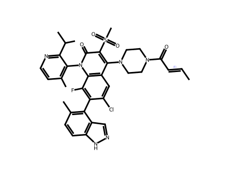 C/C=C/C(=O)N1CCN(c2c(S(C)(=O)=O)c(=O)n(-c3c(C)ccnc3C(C)C)c3c(F)c(-c4c(C)ccc5[nH]ncc45)c(Cl)cc23)CC1